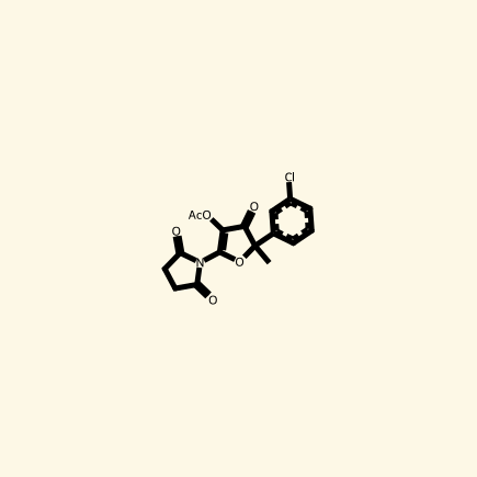 CC(=O)OC1=C(N2C(=O)CCC2=O)OC(C)(c2cccc(Cl)c2)C1=O